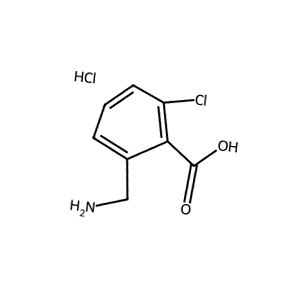 Cl.NCc1cccc(Cl)c1C(=O)O